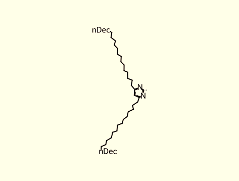 CCCCCCCCCCCCCCCCCCCCCCCCc1cc(CCCCCCCCCCCCCCCCCCCCCCCC)n[c]n1